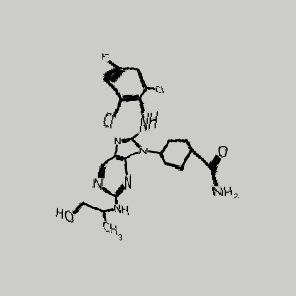 CC(CO)Nc1ncc2nc(Nc3c(Cl)cc(F)cc3Cl)n(C3CCC(C(N)=O)CC3)c2n1